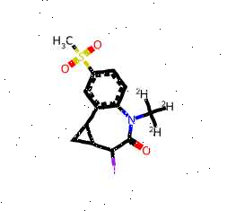 [2H]C([2H])([2H])N1C(=O)C(I)C2CC2c2cc(S(C)(=O)=O)ccc21